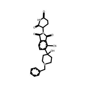 N#Cc1c(C2(O)CCN(Cc3ccccc3)CC2)ccc2c1C(=O)N(C1CCC(=O)NC1=O)C2=O